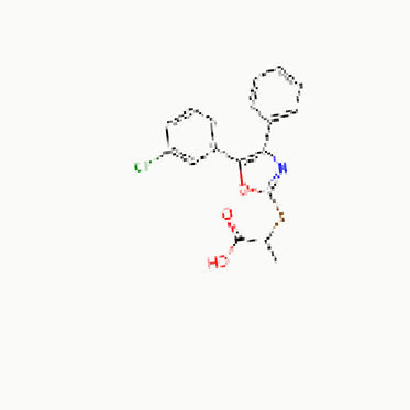 CC(Sc1nc(-c2ccccc2)c(-c2cccc(Cl)c2)o1)C(=O)O